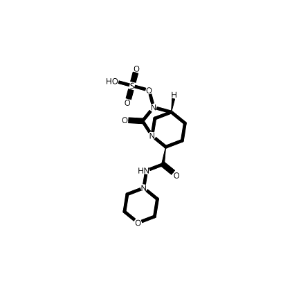 O=C(NN1CCOCC1)[C@@H]1CC[C@@H]2CN1C(=O)N2OS(=O)(=O)O